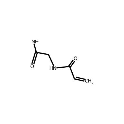 C=CC(=O)NCC([NH])=O